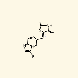 O=C1NC(=O)/C(=C/c2ccc3ncc(Br)n3c2)S1